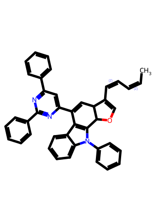 C/C=C\C=C/C1=COC2c3c(c4ccccc4n3-c3ccccc3)C(c3cc(-c4ccccc4)nc(-c4ccccc4)n3)=CC12